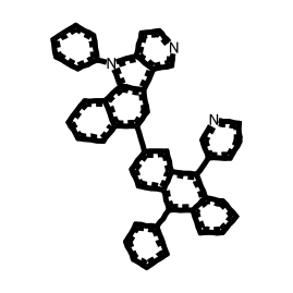 c1ccc(-c2c3ccccc3c(-c3cccnc3)c3cc(-c4cc5c6cnccc6n(-c6ccccc6)c5c5ccccc45)ccc23)cc1